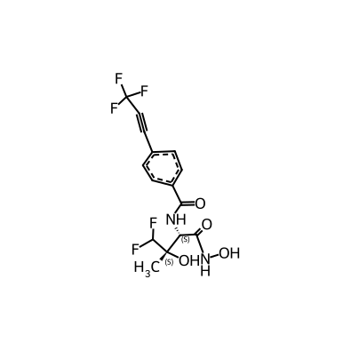 C[C@@](O)(C(F)F)[C@H](NC(=O)c1ccc(C#CC(F)(F)F)cc1)C(=O)NO